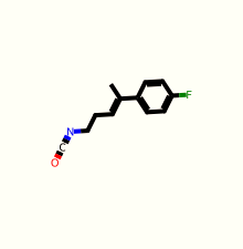 CC(=CCCN=C=O)c1ccc(F)cc1